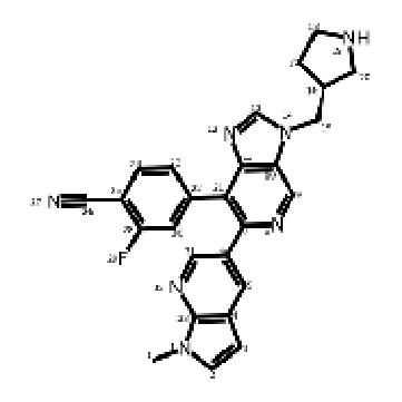 Cn1ccc2cc(-c3ncc4c(ncn4C[C@H]4CCNC4)c3-c3ccc(C#N)c(F)c3)cnc21